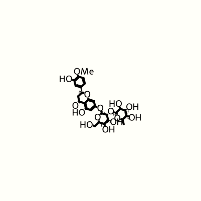 COc1ccc([C@@H]2CC(=O)c3c(O)cc(O[C@@H]4OC(CO)[C@@H](O)[C@@H](O)C4O[C@@H]4OC(C)[C@H](O)[C@H](O)C4O)cc3O2)cc1O